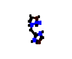 [CH](c1ncsn1)N1C=CSN1